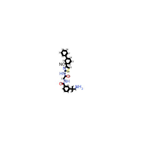 CC(C)(CN)c1cccc(C(=O)NCC(=O)Nc2nc(C3(C#N)C=CC=C(c4ccccc4)C3)cs2)c1